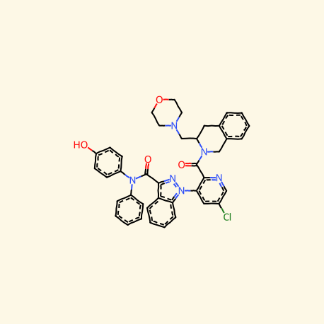 O=C(c1nn(-c2cc(Cl)cnc2C(=O)N2Cc3ccccc3CC2CN2CCOCC2)c2ccccc12)N(c1ccccc1)c1ccc(O)cc1